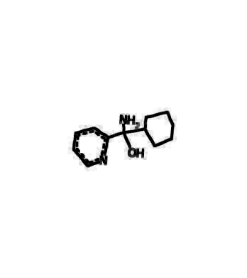 NC(O)(c1ccccn1)C1CCCCC1